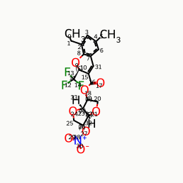 CCc1cc(C)cc2c1O[C@H](C(F)(F)F)C(C(=O)O[C@H]1CO[C@H]3[C@@H]1OC[C@H]3O[N+](=O)[O-])=C2